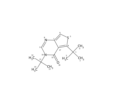 CC(C)(C)c1scc2ncn(C(C)(C)C)c(=O)c12